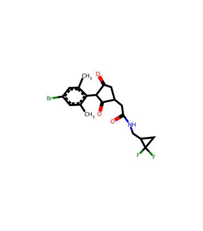 Cc1cc(Br)cc(C)c1C1C(=O)CC(CC(=O)NCC2CC2(F)F)C1=O